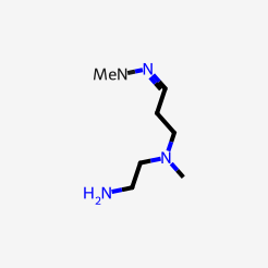 CN/N=C\CCN(C)CCN